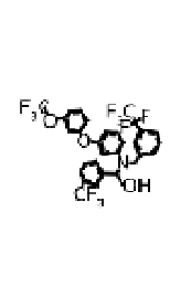 OCC(c1cccc(C(F)(F)F)c1)N(Cc1cccc(C(F)(F)C(F)(F)F)c1)c1cccc(Oc2cccc(OC(F)(F)F)c2)c1